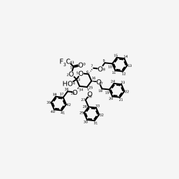 O=C(OC1(O)O[C@H](COCc2ccccc2)[C@@H](OCc2ccccc2)[C@H](OCc2ccccc2)[C@@H]1OCc1ccccc1)C(F)(F)F